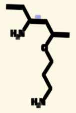 C=C/C(N)=C/C(=C)OCCCN